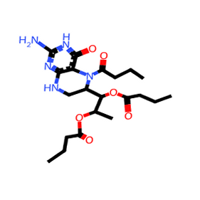 CCCC(=O)OC(C)C(OC(=O)CCC)C1CNc2nc(N)[nH]c(=O)c2N1C(=O)CCC